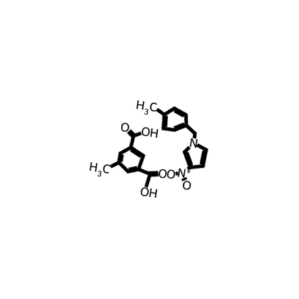 Cc1cc(C(=O)O)cc(C(=O)O)c1.Cc1ccc(Cn2ccc([N+](=O)[O-])c2)cc1